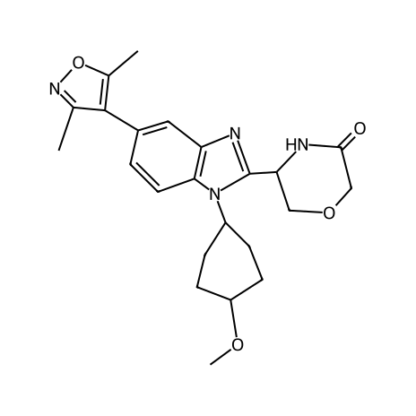 COC1CCC(n2c(C3COCC(=O)N3)nc3cc(-c4c(C)noc4C)ccc32)CC1